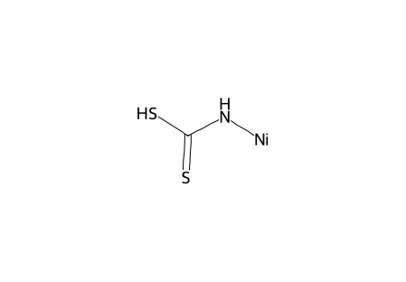 S=C(S)[NH][Ni]